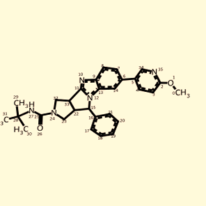 COc1ccc(-c2ccc3nc4n(c3c2)C(c2ccccc2)C2CN(C(=O)NC(C)(C)C)CC42)cn1